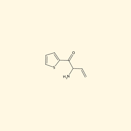 C=CC(N)C(=O)c1cccs1